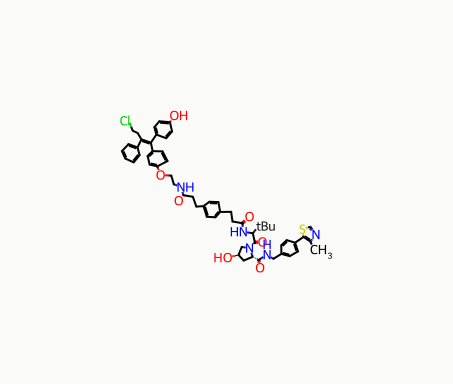 Cc1ncsc1-c1ccc(CNC(=O)[C@@H]2C[C@@H](O)CN2C(=O)C(NC(=O)CCc2ccc(CCC(=O)NCCOc3ccc(C(=C(CCCl)c4ccccc4)c4ccc(O)cc4)cc3)cc2)C(C)(C)C)cc1